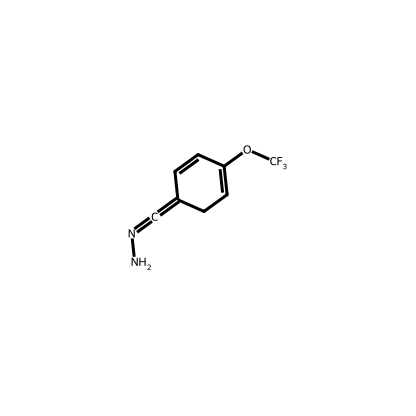 NN=C=C1C=CC(OC(F)(F)F)=CC1